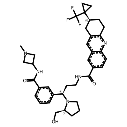 CN1CC(NC(=O)c2cccc([C@@H](CCNC(=O)c3ccc4nc5c(cc4c3)C[C@@H](C3(C(F)(F)F)CC3)CC5)N3CCC[C@H]3CO)c2)C1